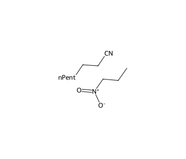 CCCCCCCC#N.CCC[N+](=O)[O-]